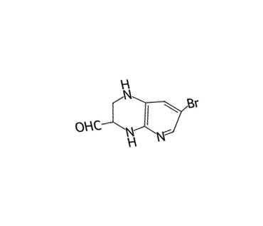 O=CC1CNc2cc(Br)cnc2N1